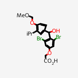 COCOc1ccc(C(O)c2c(Br)cc(OCC(=O)O)cc2Br)cc1C(C)C